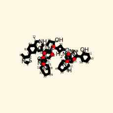 Cc1ncsc1-c1ccc([C@H](C)NC(=O)[C@@H]2C[C@@H](O)CN2C(=O)[C@@H](c2cc(N3C4CCC3CC(CN3CCC(OC5CC(Oc6cc(N7C8CC[C@@H]7CN(c7cc(-c9ccccc9O)nnc7N)C8)ccn6)C5)CC3)C4)no2)C(C)C)cc1